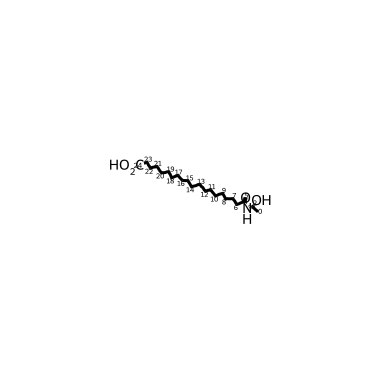 CC(O)NC(=O)CCCCCCCCCCCCCCCCCCC(=O)O